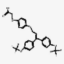 O=C(O)COc1ccc(SCC=C(c2ccc(OC(F)(F)F)cc2)c2ccc(OC(F)(F)F)cc2)cc1